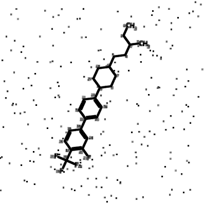 CCC(C)CCC1CCC(c2ccc(-c3ccc(C(F)(F)F)c(F)c3)cc2)CC1